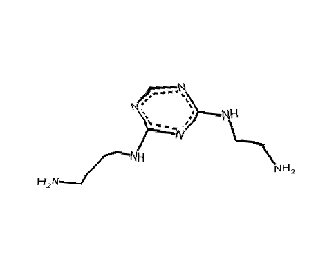 NCCNc1ncnc(NCCN)n1